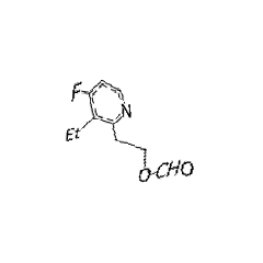 CCc1c(F)ccnc1CCOC=O